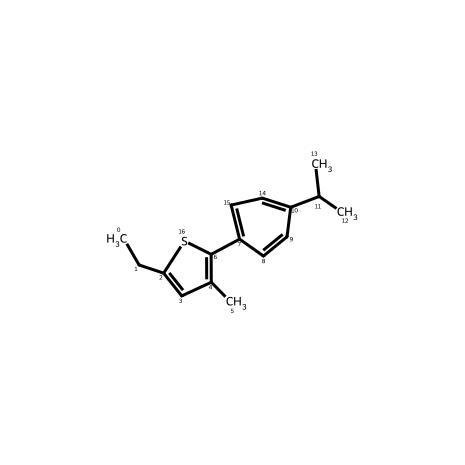 CCc1cc(C)c(-c2ccc(C(C)C)cc2)s1